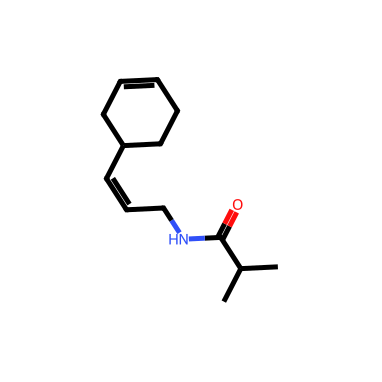 CC(C)C(=O)NC/C=C\C1CC=CCC1